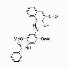 COc1cc(NC(=O)c2ccccc2)c(OC)cc1/N=N/c1c(O)c(C=O)cc2ccccc12